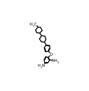 CC1CCC(C2CCC(c3ccc(Oc4ccc(N)cc4N)cc3)CC2)CC1